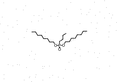 CCCCCCCCOP(=O)(CCCC)OCCCCCCCC